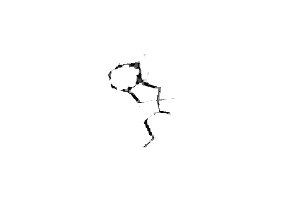 C/C=C/C(=O)C1(C)C=c2ccccc2=C1